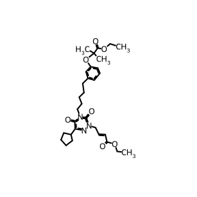 CCOC(=O)/C=C/Cn1nc(C2CCCC2)c(=O)n(CCCCCc2cccc(OC(C)(C)C(=O)OCC)c2)c1=O